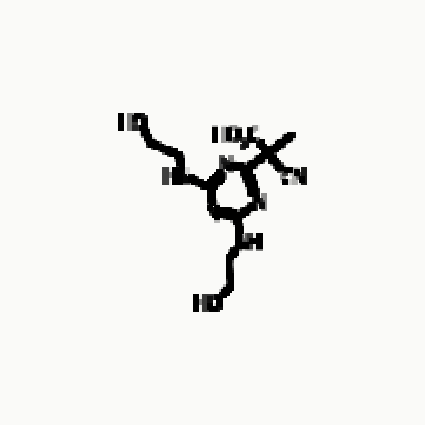 CC(C#N)(C(=O)O)c1nc(NCCO)nc(NCCO)n1